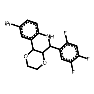 CC(C)c1ccc2c(c1)C1OCCOC1C(c1cc(F)c(F)cc1F)N2